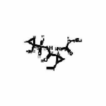 C=C[C@@H]1C[C@]1(NC(=O)OC(C)(C)C)C(=O)NS(=O)(=O)C1(CCC)CC1